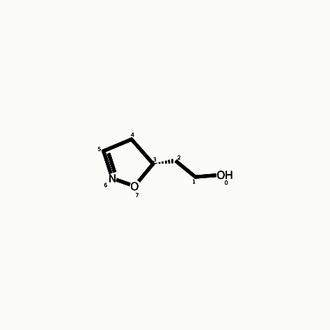 OCC[C@H]1CC=NO1